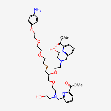 COC(=O)c1cccc(CN(CCO)CCOC[C@@H](CSCCOCCOCCOc2ccc(N)cc2)OCCN(CCO)Cc2cccc(C(=O)OC)n2)n1